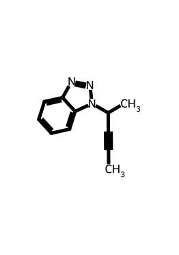 CC#CC(C)n1nnc2ccccc21